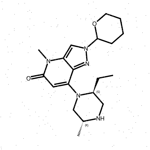 CC[C@H]1CN[C@H](C)CN1c1cc(=O)n(C)c2cn(C3CCCCO3)nc12